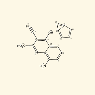 C#Cc1c(C(=O)O)nc2c([N+](=O)[O-])cccc2c1O.c1cc2cc-2c1